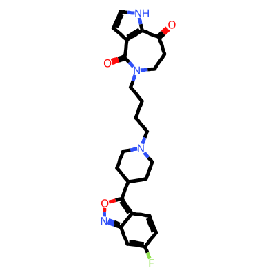 O=C1CCN(CCCCN2CCC(c3onc4cc(F)ccc34)CC2)C(=O)c2cc[nH]c21